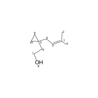 CC(C)=CCC1(CCO)CC1